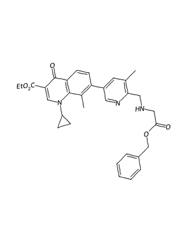 CCOC(=O)c1cn(C2CC2)c2c(C)c(-c3cnc(CNCC(=O)OCc4ccccc4)c(C)c3)ccc2c1=O